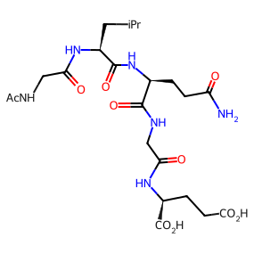 CC(=O)NCC(=O)N[C@@H](CC(C)C)C(=O)N[C@@H](CCC(N)=O)C(=O)NCC(=O)N[C@@H](CCC(=O)O)C(=O)O